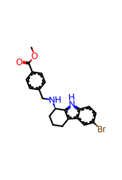 COC(=O)c1ccc(CN[C@@H]2CCCc3c2[nH]c2ccc(Br)cc32)cc1